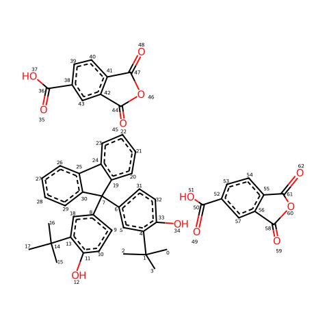 CC(C)(C)c1cc(C2(c3ccc(O)c(C(C)(C)C)c3)c3ccccc3-c3ccccc32)ccc1O.O=C(O)c1ccc2c(c1)C(=O)OC2=O.O=C(O)c1ccc2c(c1)C(=O)OC2=O